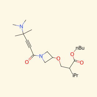 CCCCOC(=O)C(COC1CN(C(=O)C#CC(C)(C)N(C)C)C1)C(C)C